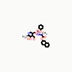 Cc1ncc(COP(=O)(N[C@@H](C)C(=O)Oc2ccc3ccccc3c2)Oc2ccccc2)c(C=O)c1O